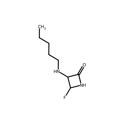 CCCCCNC1C(=O)NC1F